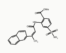 COC(=O)c1ccc(S(N)(=O)=O)cc1NC(=O)/C=C(/C)c1ccc2ccccc2c1